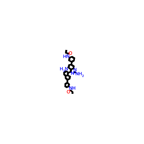 C=CC(=O)Nc1cccc(-c2ccc3c(-c4nc(N)nc5cc(-c6cccc(NC(=O)C=C)c6)ccc45)c(N)ccc3c2)c1